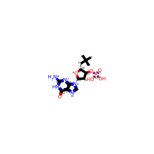 CC(C)(C)C[C@H]1O[C@@H](n2cnc3c(=O)[nH]c(N)nc32)CC1OP(=O)(O)O